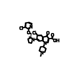 CN1CCC(n2cc(C(=O)O)c(=O)c3cc(Cl)c(N4CCC[C@@H]4COc4ncccc4Cl)cc32)CC1